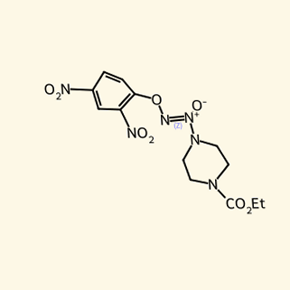 CCOC(=O)N1CCN(/[N+]([O-])=N/Oc2ccc([N+](=O)[O-])cc2[N+](=O)[O-])CC1